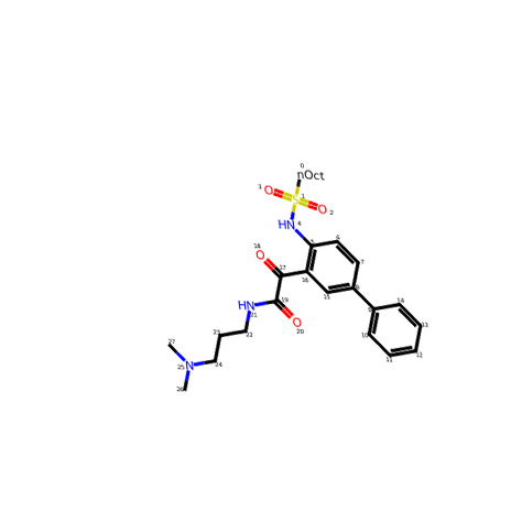 CCCCCCCCS(=O)(=O)Nc1ccc(-c2ccccc2)cc1C(=O)C(=O)NCCCN(C)C